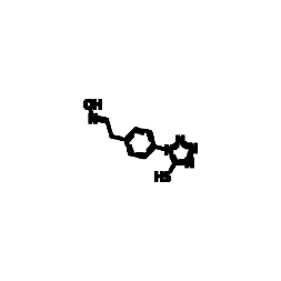 ON=CCc1ccc(-n2nnnc2S)cc1